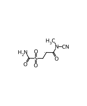 CN(C#N)C(=O)[CH]CS(=O)(=O)C(N)=O